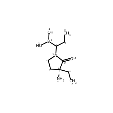 CCC(B(O)O)N1CC[C@](N)(CC)C1=O